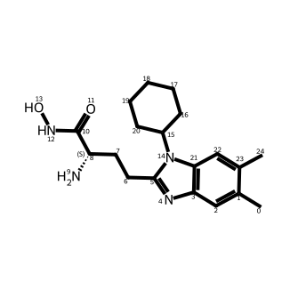 Cc1cc2nc(CC[C@H](N)C(=O)NO)n(C3CCCCC3)c2cc1C